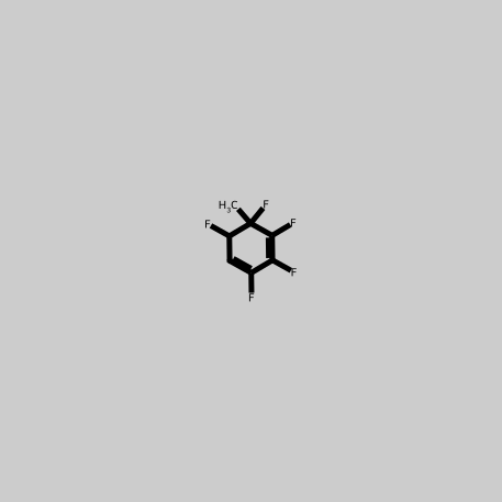 CC1(F)C(F)=C(F)C(F)=CC1F